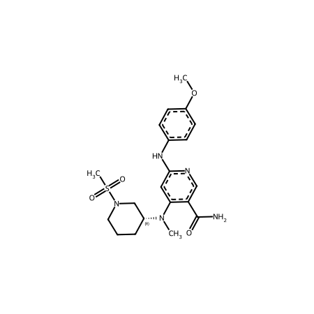 COc1ccc(Nc2cc(N(C)[C@@H]3CCCN(S(C)(=O)=O)C3)c(C(N)=O)cn2)cc1